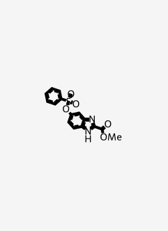 COC(=O)c1nc2cc(OS(=O)(=O)c3ccccc3)ccc2[nH]1